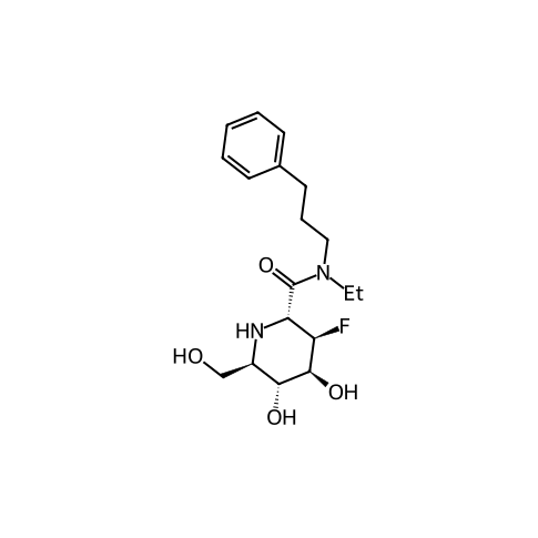 CCN(CCCc1ccccc1)C(=O)[C@H]1N[C@H](CO)[C@@H](O)[C@H](O)[C@@H]1F